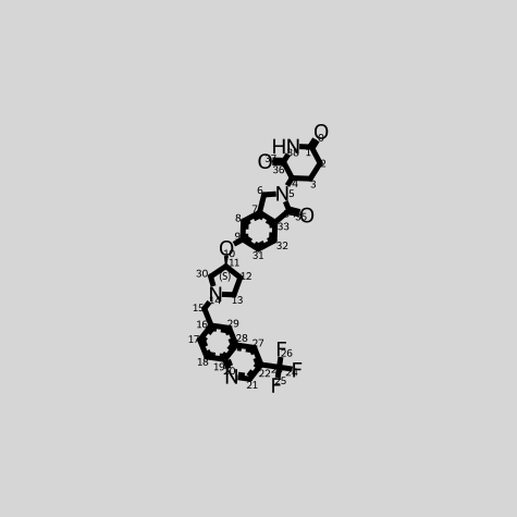 O=C1CCC(N2Cc3cc(O[C@H]4CCN(Cc5ccc6ncc(C(F)(F)F)cc6c5)C4)ccc3C2=O)C(=O)N1